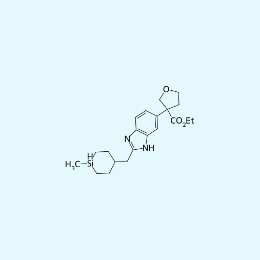 CCOC(=O)C1(c2ccc3nc(CC4CC[SiH](C)CC4)[nH]c3c2)CCOC1